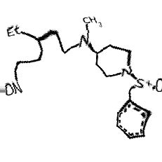 CCC(CCN=O)CCN(C)C1CCN([S+]([O-])c2ccccc2)CC1